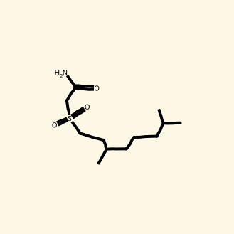 CC(C)CCCC(C)CCS(=O)(=O)CC(N)=O